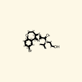 CC(C)N(CCO)C(=O)c1nc2c(s1)CCOc1ccc(Br)cc1-2